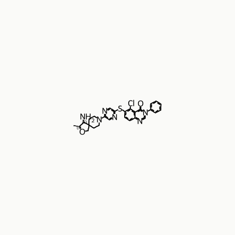 C[C@@H]1OCC2(CCN(c3cnc(Sc4ccc5ncn(-c6ccccc6)c(=O)c5c4Cl)cn3)CC2)[C@@H]1N